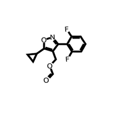 O=COCc1c(-c2c(F)cccc2F)noc1C1CC1